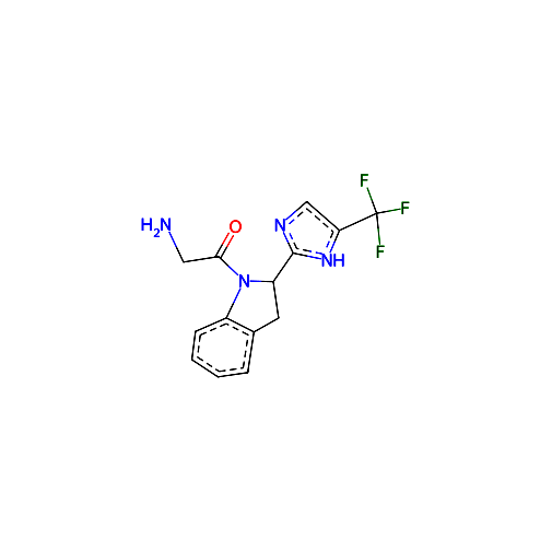 NCC(=O)N1c2ccccc2CC1c1ncc(C(F)(F)F)[nH]1